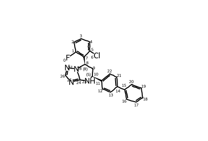 Fc1cccc(Cl)c1[C@H]1C[C@@H](c2ccc(-c3ccccc3)cc2)Nc2ncnn21